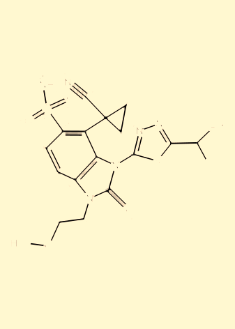 COCCn1c(=O)n(-c2nnc(C(F)F)s2)c2c(C3(C#N)CC3)c(S(N)(=O)=O)ccc21